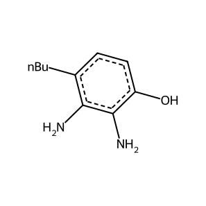 CCCCc1ccc(O)c(N)c1N